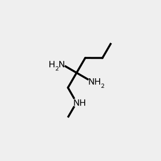 CCCC(N)(N)CNC